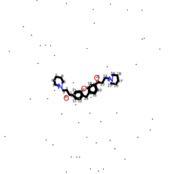 O=C(CCN1CCCCC1)c1ccc2c(c1)Oc1cc(C(=O)CCN3CCCCC3)ccc1C2